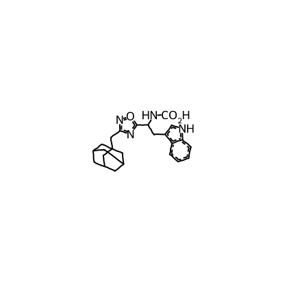 O=C(O)NC(Cc1c[nH]c2ccccc12)c1nc(CC23CC4CC(CC(C4)C2)C3)no1